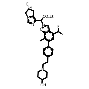 CCOC(=O)C(c1ncn2c1C[C@@H](F)C2)n1cc2c(C(F)F)cc(-c3ccc(CCN4CCC(O)CC4)cc3)c(C)c2n1